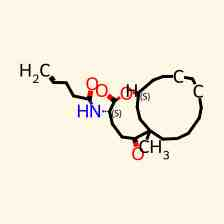 C=CCCC(=O)N[C@H]1CCC(=O)C2(C)CCCCCCCCCC[C@@H](CC2)OC1=O